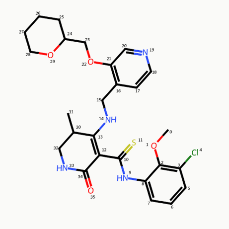 COc1c(Cl)cccc1NC(=S)C1=C(NCc2ccncc2OCC2CCCCO2)C(C)CNC1=O